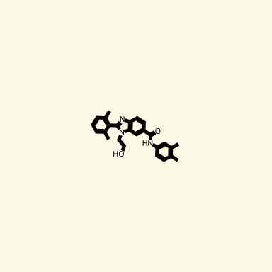 Cc1ccc(NC(=O)c2ccc3nc(-c4c(C)cccc4C)n(CCO)c3c2)cc1C